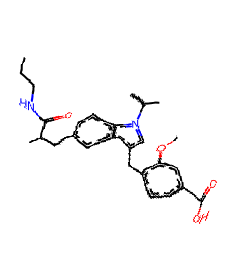 CCCNC(=O)C(C)Cc1ccc2c(c1)c(Cc1ccc(C(=O)O)cc1OC)cn2C(C)C